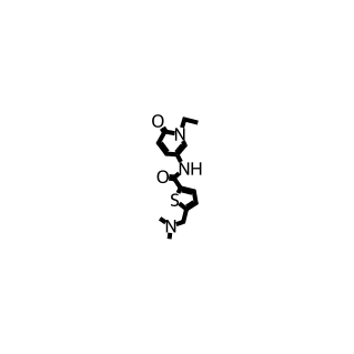 CCn1cc(NC(=O)c2ccc(CN(C)C)s2)ccc1=O